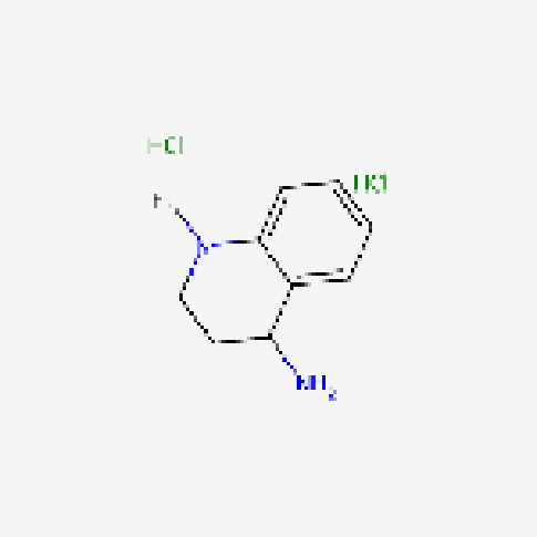 CCN1CCC(N)c2ccccc21.Cl.Cl